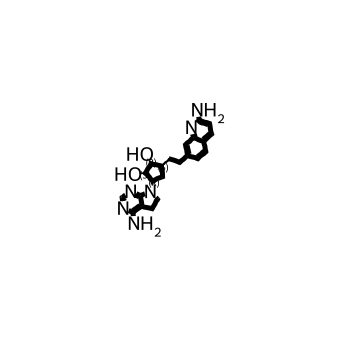 Nc1ccc2ccc(CC[C@H]3C[C@@H](N4CCc5c(N)ncnc54)[C@H](O)[C@@H]3O)cc2n1